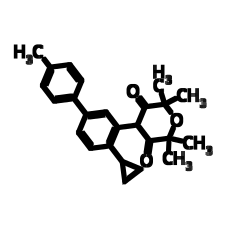 Cc1ccc(-c2ccc(C3CC3)c(C3C(=O)C(C)(C)OC(C)(C)C3=O)c2)cc1